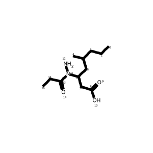 CCCC(C)CC(CC(=O)O)N(N)C(=O)CC